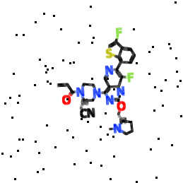 C=CC(=O)N1CCN(c2nc(OC[C@@H]3CCCN3C)nc3c(F)c(-c4cccc5c(F)csc45)ncc23)C[C@@H]1CC#N